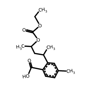 CCOC(=O)OC(C)CC(C)c1cc(C)ccc1C(=O)O